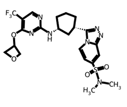 CN(C)S(=O)(=O)c1ccn2c([C@H]3CCC[C@@H](Nc4ncc(C(F)(F)F)c(OC5COC5)n4)C3)nnc2c1